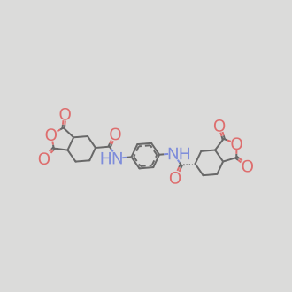 O=C(Nc1ccc(NC(=O)[C@H]2CCC3C(=O)OC(=O)C3C2)cc1)C1CCC2C(=O)OC(=O)C2C1